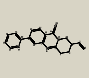 C=CC1CCc2nc3cc(-c4ccccn4)ccc3c(=O)n2C1